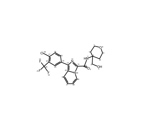 O=C(NC1(CO)CCOCC1)c1nc(-c2ccc(Cl)c(C(F)(F)F)c2)c2ccccn12